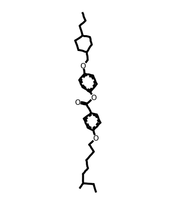 CCCC1CCC(COc2ccc(OC(=O)c3ccc(OCCCCCC(C)CC)cc3)cc2)CC1